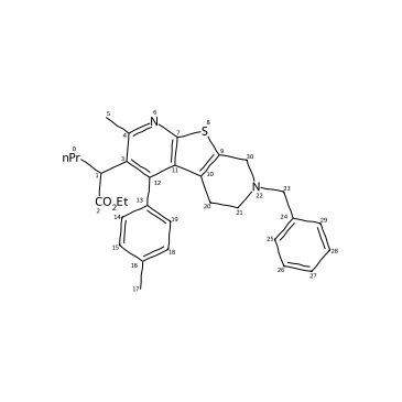 CCCC(C(=O)OCC)c1c(C)nc2sc3c(c2c1-c1ccc(C)cc1)CCN(Cc1ccccc1)C3